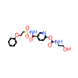 O=C(NCCO)Oc1ccc(C(=O)NS(=O)(=O)CCOc2ccccc2)cn1